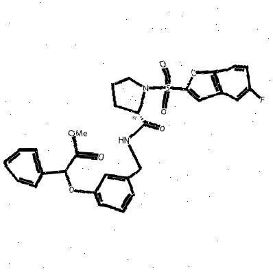 COC(=O)C(Oc1cccc(CNC(=O)[C@@H]2CCCN2S(=O)(=O)c2cc3cc(F)ccc3o2)c1)c1ccccc1